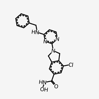 O=C(NO)c1cc(Cl)c2c(c1)CN(c1nccc(NCc3ccccc3)n1)C2